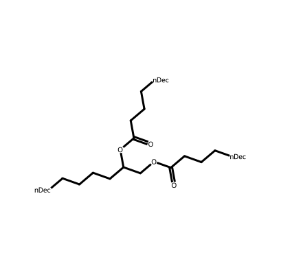 CCCCCCCCCCCCCCC(COC(=O)CCCCCCCCCCCCC)OC(=O)CCCCCCCCCCCCC